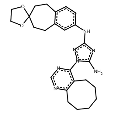 Nc1nc(Nc2ccc3c(c2)CCC2(CC3)OCCO2)nn1-c1ncnc2c1CCCCCC2